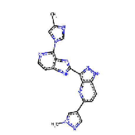 Cc1cn(-c2nccc3[nH]c(-c4n[nH]c5ccc(-c6cnn(C)c6)nc45)nc23)cn1